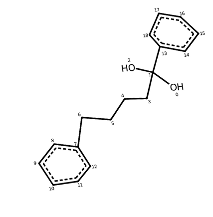 OC(O)(CCCCc1ccccc1)c1ccccc1